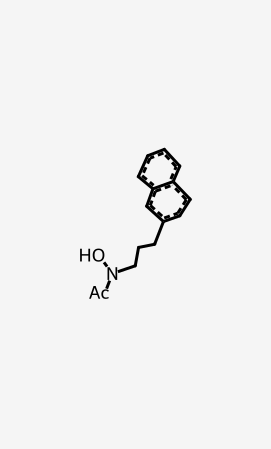 CC(=O)N(O)CCCc1ccc2ccccc2c1